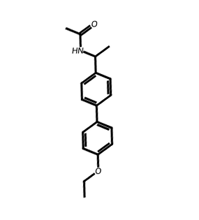 CCOc1ccc(-c2ccc(C(C)NC(C)=O)cc2)cc1